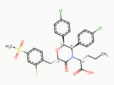 CCC[C@H](C(=O)O)N1C(=O)[C@H](Cc2ccc(S(C)(=O)=O)cc2F)O[C@@H](c2ccc(Cl)cc2)[C@H]1c1ccc(Cl)cc1